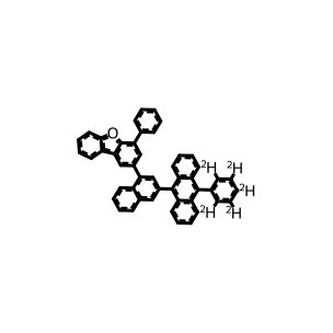 [2H]c1c([2H])c([2H])c(-c2c3ccccc3c(-c3cc(-c4cc(-c5ccccc5)c5oc6ccccc6c5c4)c4ccccc4c3)c3ccccc23)c([2H])c1[2H]